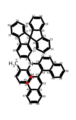 Cc1ccccc1N(c1ccc2c(c1)C1(c3ccccc3-c3ccccc31)c1ccccc1-2)c1ccc2ccccc2c1-c1ccc2ccccc2c1